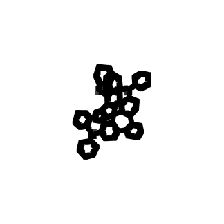 c1ccc(N(c2ccccc2)c2ccc3c(c2)C2(c4cc(N(c5ccccc5)c5ccccc5)ccc4-c4ccccc4-3)c3ccccc3-c3c2ccc2c3sc3ccccc32)cc1